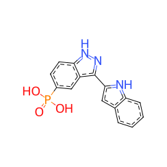 O=P(O)(O)c1ccc2[nH]nc(-c3cc4ccccc4[nH]3)c2c1